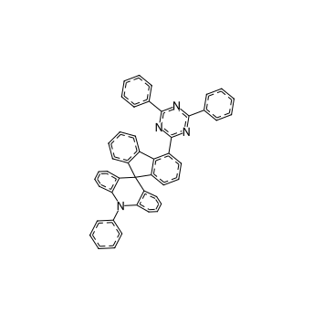 c1ccc(-c2nc(-c3ccccc3)nc(-c3cccc4c3-c3ccccc3C43c4ccccc4N(c4ccccc4)c4ccccc43)n2)cc1